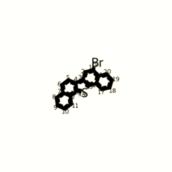 Brc1cc2c3ccc4ccccc4c3sc2c2ccccc12